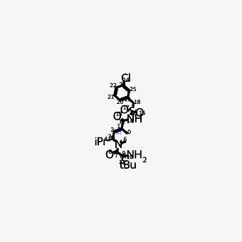 C/C(=C\[C@H](C(C)C)N(C)C(=O)[C@@H](N)C(C)(C)C)C(=O)NS(=O)(=O)Cc1cccc(Cl)c1